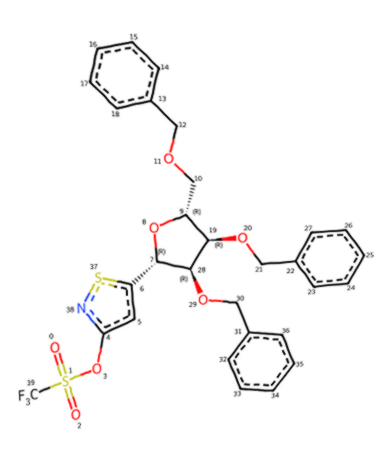 O=S(=O)(Oc1cc([C@@H]2O[C@H](COCc3ccccc3)[C@@H](OCc3ccccc3)[C@H]2OCc2ccccc2)sn1)C(F)(F)F